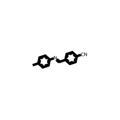 Cc1ccc(N=Cc2ccc(C#N)cc2)cc1